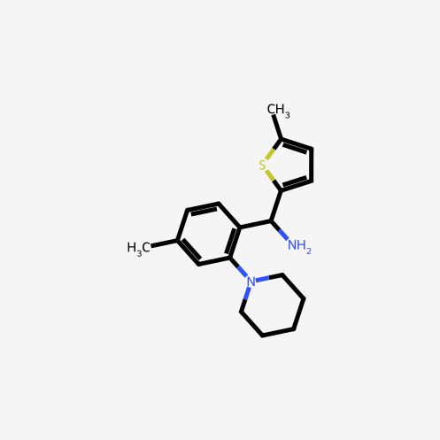 Cc1ccc(C(N)c2ccc(C)s2)c(N2CCCCC2)c1